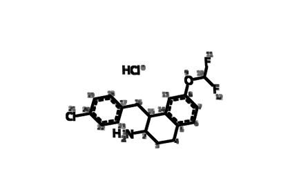 Cl.NC1CCc2ccc(OC(F)F)cc2C1Cc1ccc(Cl)cc1